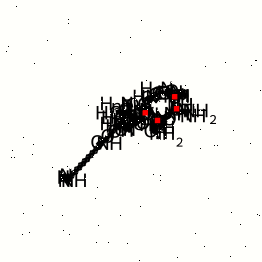 CCCC[C@H](NC(=O)[C@H](CO)NC(=O)[C@H](Cc1c[nH]cn1)NC(=O)[C@@H](CCC(N)=O)NC(=O)[C@H](CO)NC(=O)CNC(=O)COCCOCCNC(=O)CCCCCCCCCCCCCCCc1nnn[nH]1)C(=O)N[C@H]1CCC(=O)NCCCC[C@@H](C(N)=O)NC(=O)[C@H](Cc2c[nH]c3ccccc23)NC(=O)[C@H](CCCNC(=N)N)NC(=O)[C@@H](Cc2ccccc2)NC(=O)[C@H](CCCNC(N)=O)NC1=O